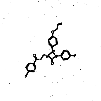 C=CCOc1ccc([C@@H]2[C@@H](CCC(=O)c3ccc(F)cc3)C(=O)N2c2ccc(F)cc2)cc1